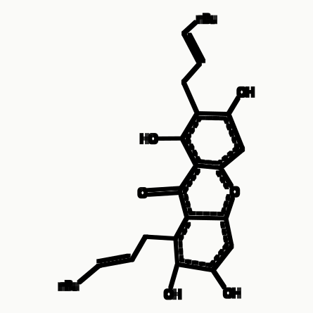 CCCCC=CCc1c(O)cc2oc3cc(O)c(O)c(C/C=C/CCCC)c3c(=O)c2c1O